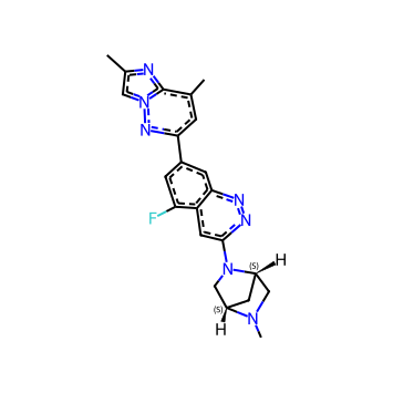 Cc1cn2nc(-c3cc(F)c4cc(N5C[C@@H]6C[C@H]5CN6C)nnc4c3)cc(C)c2n1